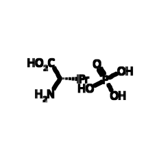 CC(C)[C@H](N)C(=O)O.O=P(O)(O)O